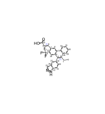 CC/C(=C(/c1ccc(/C=C/C(=O)O)c(C(F)(F)F)c1)c1ccc2[nH]ncc2c1)c1ccccc1